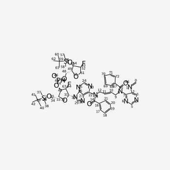 C=Nc1cncnc1N(C/C=C/CN(C(=O)c1ccccc1)c1ncnc2c1ncn2[C@@H]1O[C@H](CO[Si](C)(C)C(C)(C)C)[C@@H](O[PH](=O)OC[C@H]2OC[C@H](F)[C@@H]2O[Si](C)(C)C(C)(C)C)[C@H]1F)C(=O)c1ccccc1